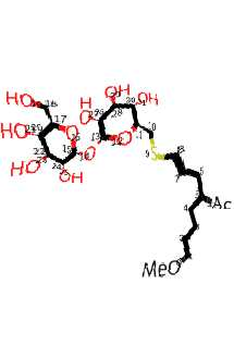 COCCCCC(CCCSC[C@H]1O[C@H](O[C@H]2O[C@H](CO)[C@@H](O)[C@H](O)[C@H]2O)[C@H](O)[C@@H](O)[C@@H]1O)C(C)=O